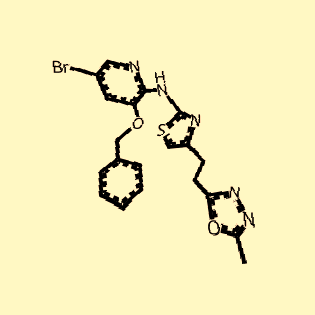 Cc1nnc(CCc2csc(Nc3ncc(Br)cc3OCc3ccccc3)n2)o1